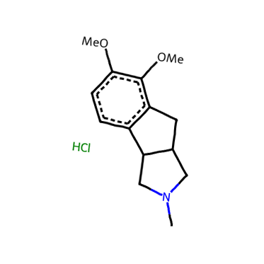 COc1ccc2c(c1OC)CC1CN(C)CC21.Cl